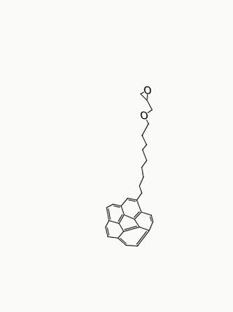 c1cc2ccc3cc(CCCCCCCCCOCC4CO4)c4ccc5ccc1c1c2c3c4c51